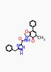 C[C@H]1C=C(c2ccccc2)C2=C(C1=O)N(NC(=O)c1n[nH]c(Cc3ccccc3)n1)CO2